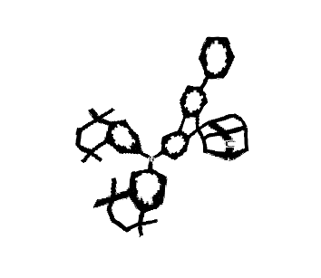 CC1(C)CCC(C)(C)c2cc(N(c3ccc4c(c3)-c3ccc(-c5ccccc5)cc3C43C4CC5CC6CC3C64C5)c3ccc4c(c3)C(C)(C)CCC4(C)C)ccc21